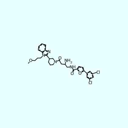 COCCCn1c(C2CCCN(C(=O)CC(N)CNC(=O)c3ccc(-c4cc(Cl)cc(Cl)c4)o3)C2)nc2ccccc21